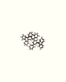 C1=Cc2c(c3cc(N(c4cc(-c5ccccc5)cc(-n5c6ccccc6c6ccccc65)c4)c4ccccc4-c4ccccc4)ccc3c3ccccc23)CC1